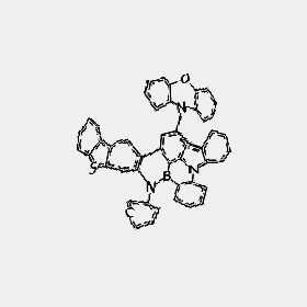 c1ccc(N2B3c4ccccc4-n4c5ccccc5c5c(N6c7ccccc7Oc7ccccc76)cc(c3c54)-c3cc4c(cc32)sc2ccccc24)cc1